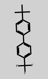 CC(C)(C)c1ccc(-c2ccc(C(F)(F)F)cc2)cc1